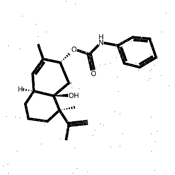 C=C(C)[C@@]1(C)CCC[C@H]2C=C(C)[C@H](OC(=O)Nc3ccccc3)[C][C@@]21O